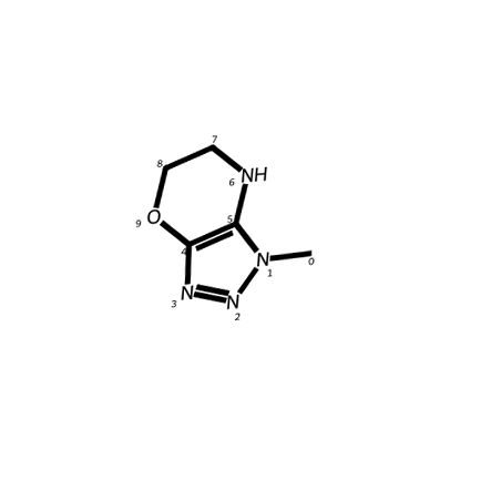 Cn1nnc2c1NCCO2